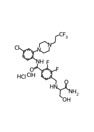 Cl.Cl.NC(=O)C(CO)NCc1ccc(C(=O)Nc2ccc(Cl)cc2N2CCN(CCC(F)(F)F)CC2)c(F)c1F